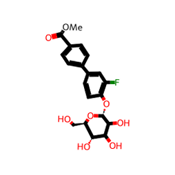 COC(=O)c1ccc(-c2ccc(O[C@H]3O[C@H](CO)[C@@H](O)C(O)C3O)c(F)c2)cc1